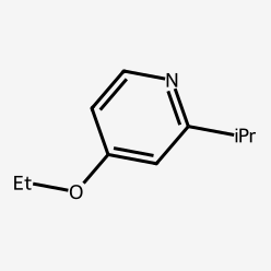 CCOc1ccnc(C(C)C)c1